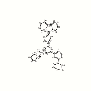 c1ccc(-c2cccc(-c3nc(-c4ccc(-n5c6ccccc6c6ccccc65)cc4)nc(-c4cc5ccccc5s4)n3)c2)cc1